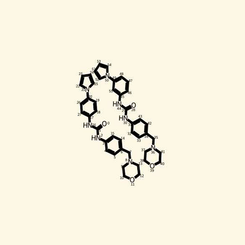 O=C(Nc1ccc(CN2CCOCC2)cc1)Nc1ccc(-n2cccc2)cc1.O=C(Nc1ccc(CN2CCOCC2)cc1)Nc1cccc(-n2cccc2)c1